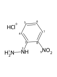 Cl.NNc1ccccc1[N+](=O)[O-]